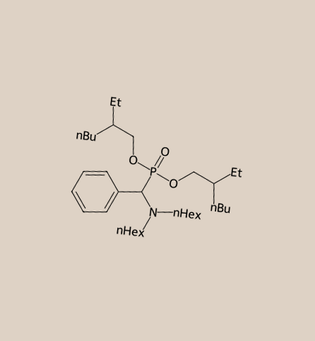 CCCCCCN(CCCCCC)C(c1ccccc1)P(=O)(OCC(CC)CCCC)OCC(CC)CCCC